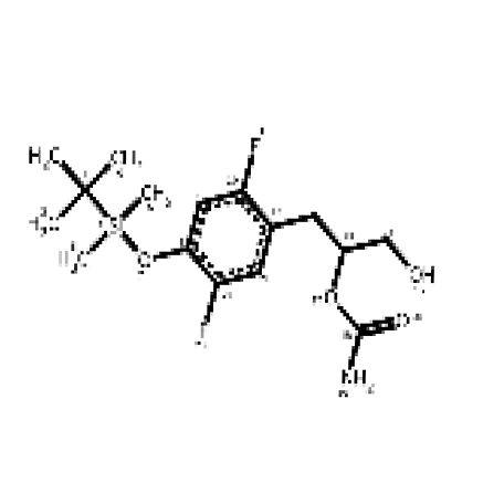 CC(C)(C)[Si](C)(C)Oc1cc(F)c(CC(CO)OC(N)=O)cc1F